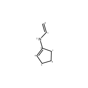 C=C[N]C1=CCCC1